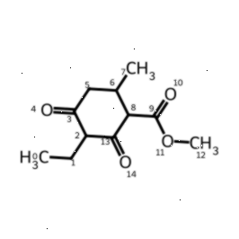 CCC1C(=O)CC(C)C(C(=O)OC)C1=O